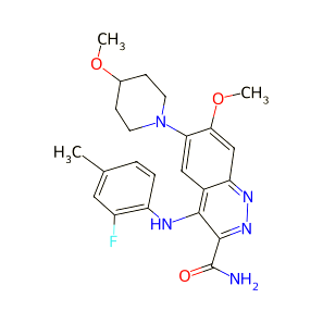 COc1cc2nnc(C(N)=O)c(Nc3ccc(C)cc3F)c2cc1N1CCC(OC)CC1